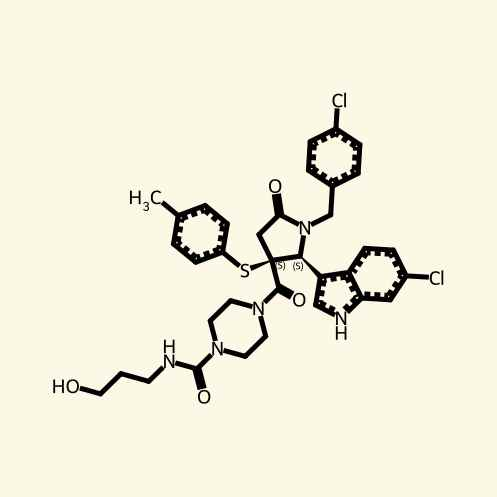 Cc1ccc(S[C@@]2(C(=O)N3CCN(C(=O)NCCCO)CC3)CC(=O)N(Cc3ccc(Cl)cc3)[C@H]2c2c[nH]c3cc(Cl)ccc23)cc1